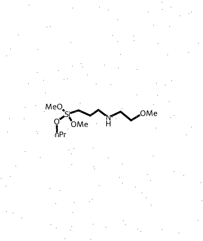 CCCO[Si](CCCNCCOC)(OC)OC